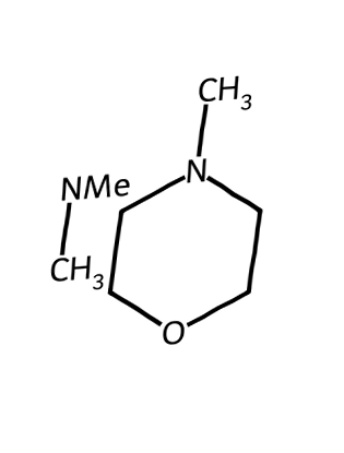 CN1CCOCC1.CNC